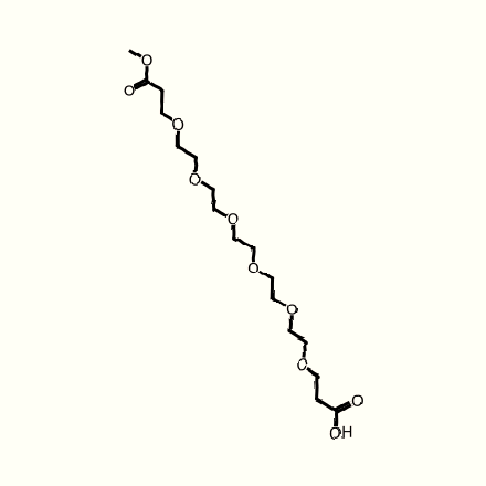 COC(=O)CCOCCOCCOCCOCCOCCOCCC(=O)O